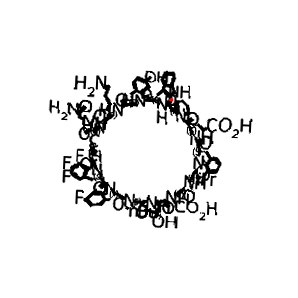 CCCC[C@H]1C(=O)N2C[C@@H](O)C[C@@H]2C(=O)N[C@@H](CC(=O)O)C(=O)N[C@@H](C(C)C)C(=O)N(C)[C@@H](Cc2ccccc2)C(=O)N[C@@H](CCC(=O)O)C(=O)N2CCCC[C@@H]2C(=O)N[C@@H](Cc2c[nH]c3ccccc23)C(=O)N[C@@H](Cc2ccc(O)cc2)C(=O)N[C@@H](CCCCN)C(=O)N[C@H](C(=O)NCC(N)=O)CSCC(=O)N[C@@H](Cc2cc(F)c(F)c(F)c2)C(=O)N(C)[C@@H](Cc2ccc(F)cc2)C(=O)N1C